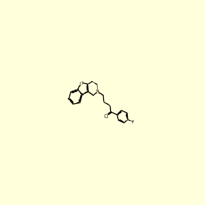 O=C(CCCN1CCc2oc3ccccc3c2C1)c1ccc(F)cc1